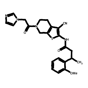 COc1ccccc1C(C)CC(=O)Nc1sc2c(c1C#N)CCN(C(=O)Cn1ccnc1)C2